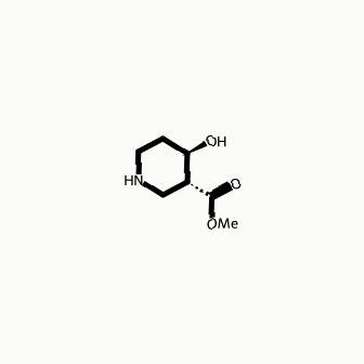 COC(=O)[C@@H]1CNCC[C@H]1O